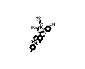 Cc1ccc(S(=O)(=O)n2ccc3c(C(=N[S+]([O-])C(C)(C)C)c4nc5ccc(C#N)cc5n4COCC[Si](C)(C)C)c(C)cc(C)c32)cc1